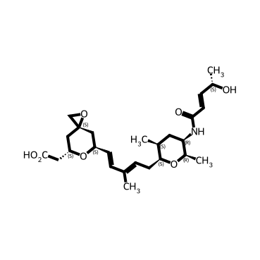 CC(C=C[C@@H]1C[C@]2(CO2)C[C@@H](CC(=O)O)O1)=CC[C@@H]1O[C@H](C)[C@H](NC(=O)C=C[C@H](C)O)C[C@@H]1C